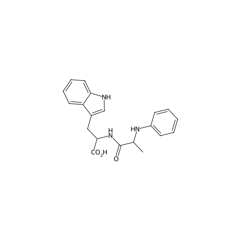 CC(Nc1ccccc1)C(=O)NC(Cc1c[nH]c2ccccc12)C(=O)O